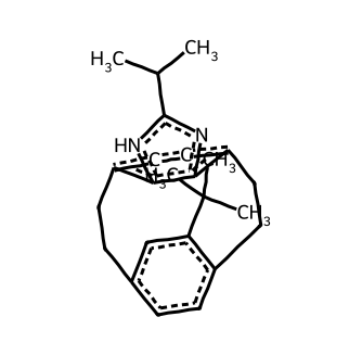 CC(C)c1nc2c3ccc(c2[nH]1)CCc1ccc(c(C(C)(C)C)c1)CC3